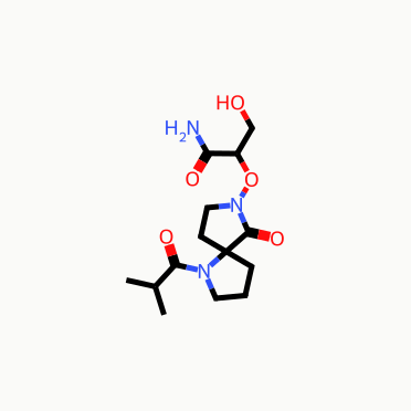 CC(C)C(=O)N1CCCC12CCN(OC(CO)C(N)=O)C2=O